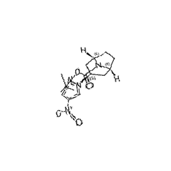 CC(C)(C)OC(=O)N1[C@@H]2CC[C@H]1C[C@H](n1cc([N+](=O)[O-])cn1)C2